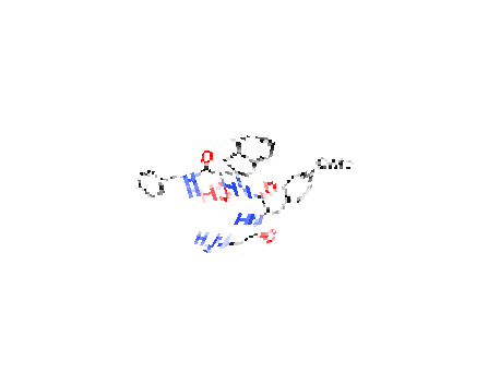 COc1ccc(C[C@H](NC(=O)[C@H](C)N)C(=O)NC2(C(O)C(=O)NCc3ccccc3)Cc3ccccc3C2)cc1